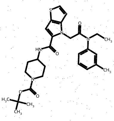 CCN(C(=O)Cn1c(C(=O)NC2CCN(C(=O)OC(C)(C)C)CC2)cc2sccc21)c1cccc(C)c1